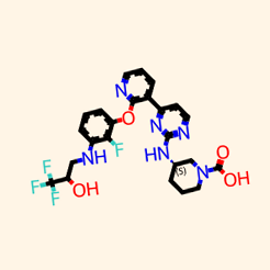 O=C(O)N1CCC[C@H](Nc2nccc(-c3cccnc3Oc3cccc(NCC(O)C(F)(F)F)c3F)n2)C1